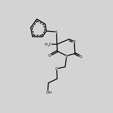 CC1(Sc2ccccc2)C=NC(=O)N(COCCO)C1=O